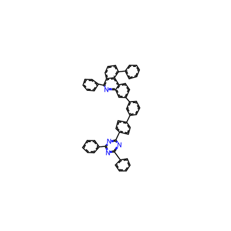 c1ccc(-c2nc(-c3ccccc3)nc(-c3ccc(-c4cccc(-c5ccc6c(c5)nc(-c5ccccc5)c5cccc(-c7ccccc7)c56)c4)cc3)n2)cc1